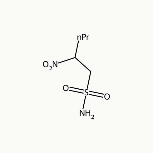 CCCC(CS(N)(=O)=O)[N+](=O)[O-]